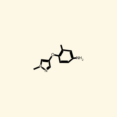 Cc1cc(N)ccc1Oc1cnn(C)c1